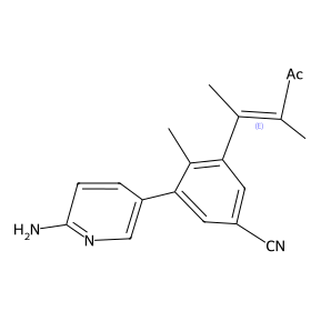 CC(=O)/C(C)=C(\C)c1cc(C#N)cc(-c2ccc(N)nc2)c1C